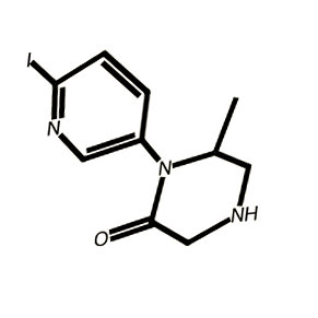 CC1CNCC(=O)N1c1ccc(I)nc1